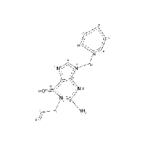 C=CCn1c(N)nc2c(ncn2Cc2ccccc2)c1=O